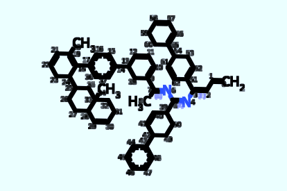 C=C/C=C(/N=C(\N=C(/C)C1=CC=CC(c2ccc(C3=C(C)C=CCC3C3CCC4C=CCCC4(C)C3)cc2)C1)C1C=CC(c2ccccc2)CC1)C1=CCC(C2=CC=CCC2)C=C1